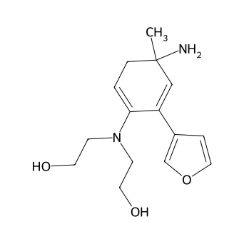 CC1(N)C=C(c2ccoc2)C(N(CCO)CCO)=CC1